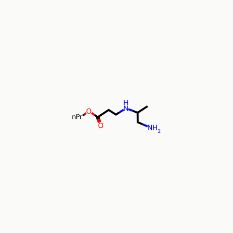 CCCOC(=O)CCNC(C)CN